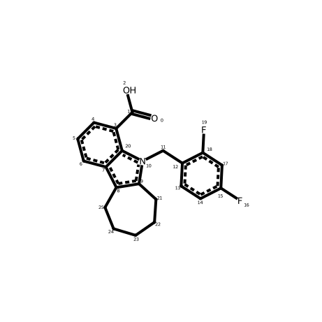 O=C(O)c1cccc2c3c(n(Cc4ccc(F)cc4F)c12)CCCCC3